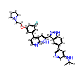 CC(C)Nc1cncc(-c2ccc3[nH]nc(-c4cc5c(-c6cc(F)cc(OCCN7CCCC7)c6)ccnc5[nH]4)c3c2)c1